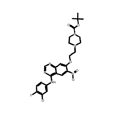 CC(C)(C)OC(=O)N1CCN(CCOc2cc3ncnc(Nc4ccc(F)c(Cl)c4)c3cc2[N+](=O)[O-])CC1